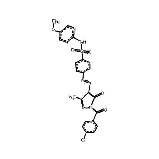 COc1cnc(NS(=O)(=O)c2ccc(/N=N/C3C(=O)N(C(=O)c4ccc(Cl)cc4)N=C3C)cc2)nc1